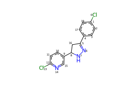 Clc1ccc(C2=NNC(c3ccc(Cl)nc3)C2)cc1